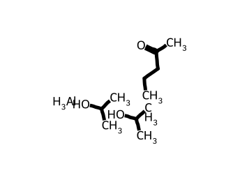 CC(C)O.CC(C)O.CCCC(C)=O.[AlH3]